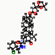 CC(C)C1=C2[C@H]3CC[C@@H]4[C@@]5(C)CC[C@H](OC(=O)CC(C)(C)C(=O)OC(C)(C)C)C(C)(C)[C@@H]5CC[C@@]4(C)[C@]3(C)CC[C@@]2(/C=C/C(=O)N[C@@H](C)c2ccccc2Cl)CC1=O